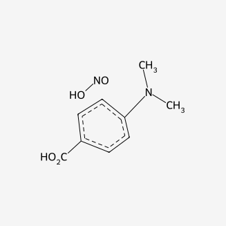 CN(C)c1ccc(C(=O)O)cc1.O=NO